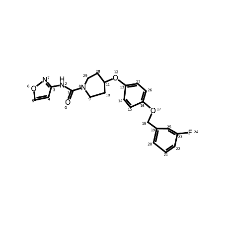 O=C(Nc1ccon1)N1CCC(Oc2ccc(OCc3cccc(F)c3)cc2)CC1